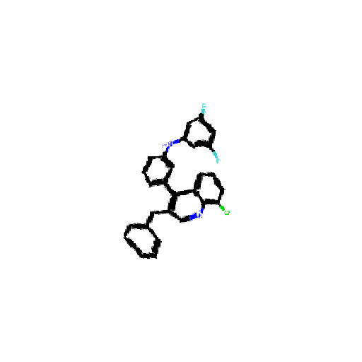 Fc1cc(F)cc(Nc2cccc(-c3c(Cc4ccccc4)cnc4c(Cl)cccc34)c2)c1